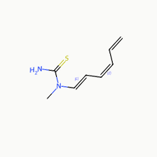 C=C/C=C\C=C\N(C)C(N)=S